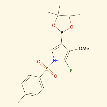 COc1c(B2OC(C)(C)C(C)(C)O2)cn(S(=O)(=O)c2ccc(C)cc2)c1F